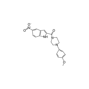 COc1ccc(N2CCN(C(=O)c3cc4cc([N+](=O)[O-])ccc4[nH]3)CC2)cc1